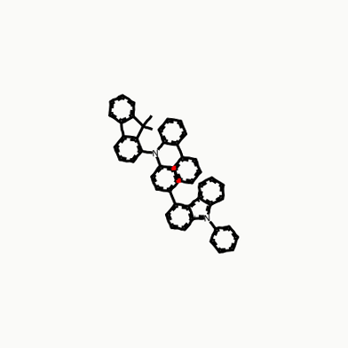 CC1(C)c2ccccc2-c2cccc(N(c3ccc(-c4cccc5c4c4ccccc4n5-c4ccccc4)cc3)c3ccccc3-c3ccccc3)c21